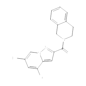 O=C(c1cc2c(Br)cc(Br)cn2n1)N1CCc2ccccc2C1